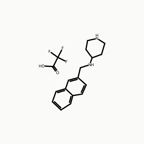 O=C(O)C(F)(F)F.c1ccc2cc(CNC3CCNCC3)ccc2c1